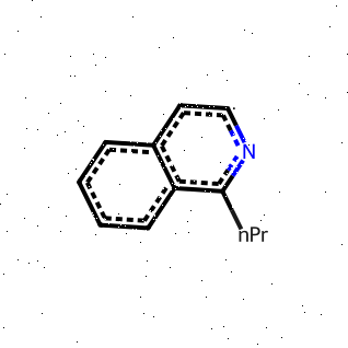 CCCc1n[c]cc2ccccc12